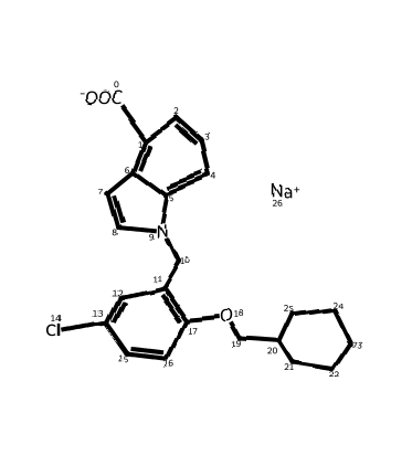 O=C([O-])c1cccc2c1ccn2Cc1cc(Cl)ccc1OCC1CCCCC1.[Na+]